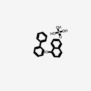 O=P(O)(O)O.Oc1cccc2ccccc12.c1ccc(-c2ccccc2)cc1